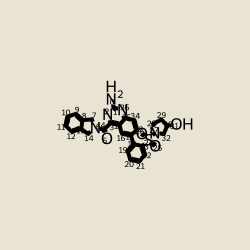 Nc1nc(C(=O)N2Cc3ccccc3C2)c2cc(-c3ccccc3S(=O)(=O)N3CCC(O)C3)ccc2n1